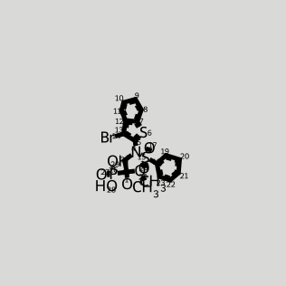 COC(CN(c1sc2ccccc2c1Br)S(=O)(=O)c1ccccc1)(OC)P(=O)(O)O